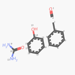 C=O.Cc1ccccc1.NC(N)=O.Oc1ccccc1